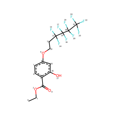 CCOC(=O)c1ccc(OCCC(F)(F)C(F)(F)C(F)(F)C(F)(F)F)cc1O